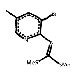 CSC(=Nc1ncc(C)cc1Br)SC